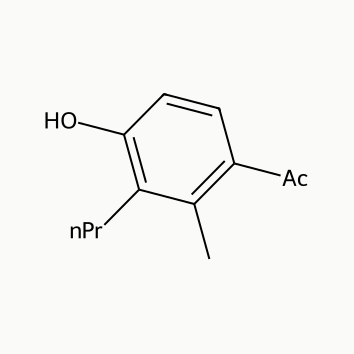 CCCc1c(O)ccc(C(C)=O)c1C